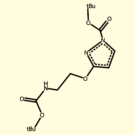 CC(C)(C)OC(=O)NCCOc1ccn(C(=O)OC(C)(C)C)n1